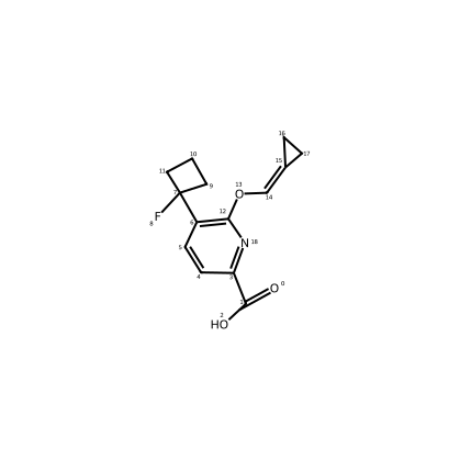 O=C(O)c1ccc(C2(F)CCC2)c(OC=C2CC2)n1